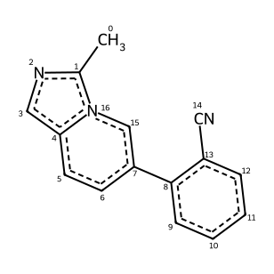 Cc1ncc2ccc(-c3ccccc3C#N)cn12